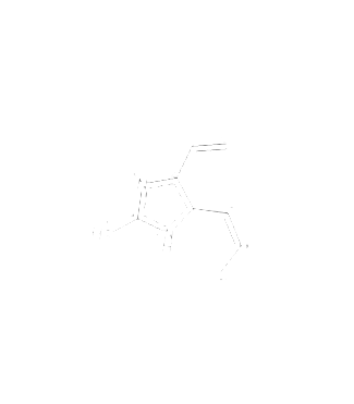 C=Cc1nc(S)[nH]c1/C=C\C